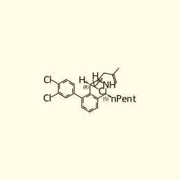 C=C(C)C[C@@H]1N[C@@]2(CCCCC)CC(C)(C)[C@@H]1c1c(-c3ccc(Cl)c(Cl)c3)cccc12